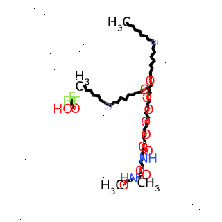 CCCCCCCC/C=C\CCCCCCCCOCC(COCCOCCOCCOCCOC(=O)CNCCOC(=O)C(C)NCCOC)OCCCCCCCC/C=C\CCCCCCCC.O=C(O)C(F)(F)F